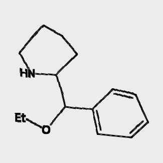 CCOC(c1ccccc1)C1CCCCN1